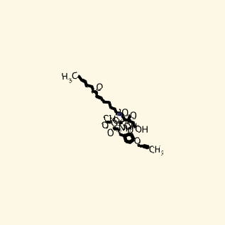 CC#CCOc1ccc(C[C@H](NC(=O)[C@@H](/C=C/CCCCCCC(=O)CCCCCCC)[C@@](O)(CC(=O)O)C(=O)O)C(=O)OC(C)=O)cc1